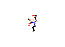 C=CCN(CC1CO1)C(=O)PC